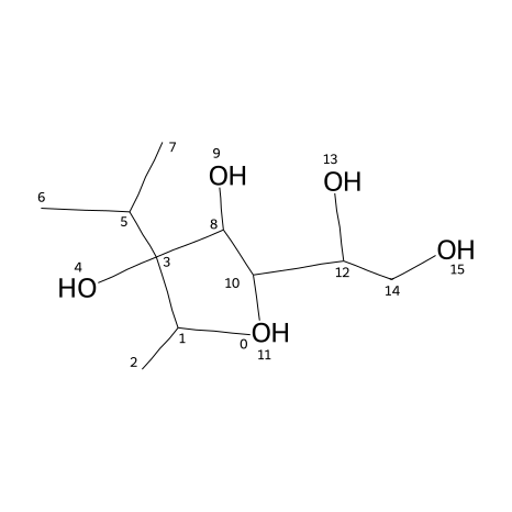 CC(C)C(O)(C(C)C)C(O)C(O)C(O)CO